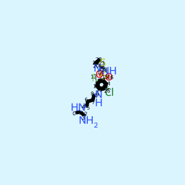 CC(CN)NCCCCNc1cc(F)c(S(=O)(=O)Nc2nccs2)cc1Cl